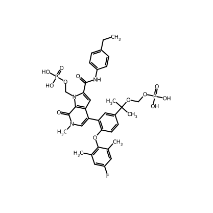 CCc1ccc(NC(=O)c2cc3c(-c4cc(C(C)(C)OCOP(=O)(O)O)ccc4Oc4c(C)cc(F)cc4C)cn(C)c(=O)c3n2COP(=O)(O)O)cc1